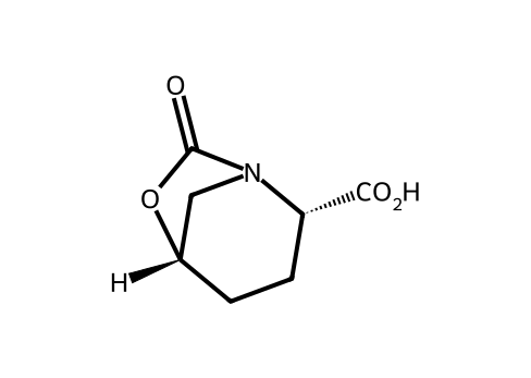 O=C(O)[C@@H]1CC[C@H]2CN1C(=O)O2